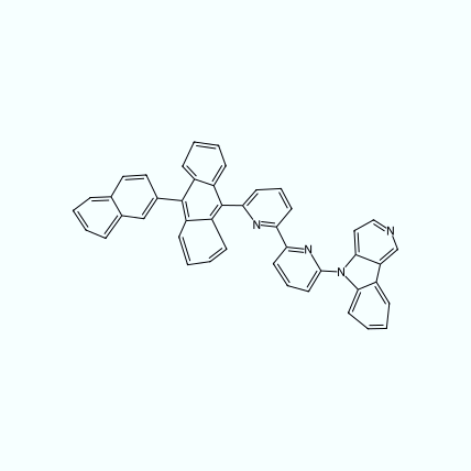 c1cc(-c2cccc(-n3c4ccccc4c4cnccc43)n2)nc(-c2c3ccccc3c(-c3ccc4ccccc4c3)c3ccccc23)c1